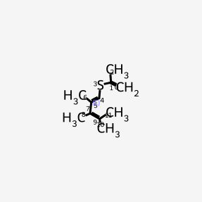 C=C(C)S/C=C(\C)C(C)=C(C)C